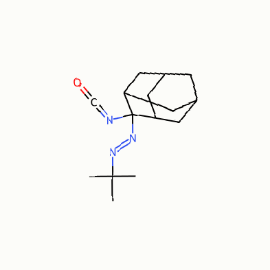 CC(C)(C)N=NC1(N=C=O)C2CC3CC(C2)CC1C3